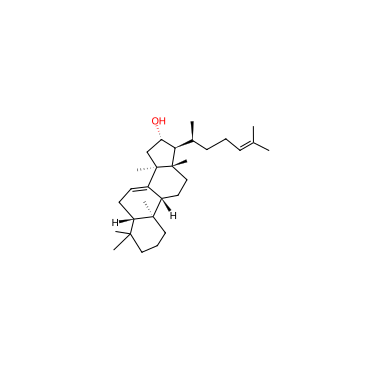 CC(C)=CCC[C@H](C)[C@@H]1[C@@H](O)C[C@]2(C)C3=CC[C@H]4C(C)(C)CCC[C@]4(C)[C@H]3CC[C@@]12C